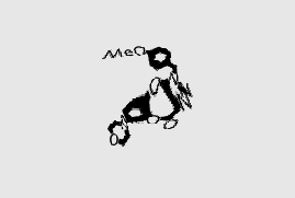 COC(=O)c1nnn(Cc2ccc(OC)cc2)c1Oc1ccc(N2CCOCC2)cc1